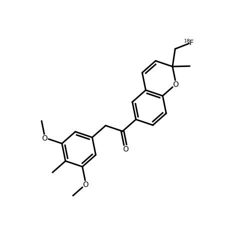 COc1cc(CC(=O)c2ccc3c(c2)C=CC(C)(C[18F])O3)cc(OC)c1C